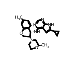 Cc1ccc2c(c1)OC[C@H](N1CCO[C@H](C)C1)[C@H]2Nc1ncnc2[nH]c(C3CC3)cc12